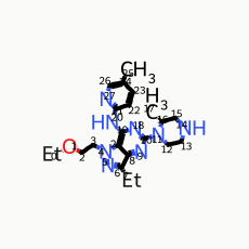 CCOCCn1nc(CC)c2nc(N3CCNC[C@@H]3C)nc(Nc3ccc(C)cn3)c21